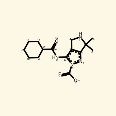 CC1(C)NCc2c1nn(C(=O)O)c2NC(=O)C1CCCCC1